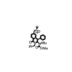 COC(=O)N(c1c(-c2ccccc2)c2cc(C[SH](=O)=O)ccc2c(=O)n1CC(C)C)C(C)(C)C